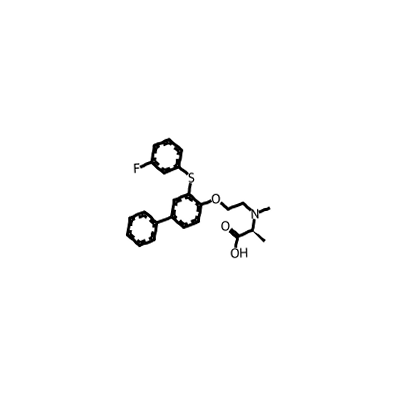 C[C@@H](C(=O)O)N(C)CCOc1ccc(-c2ccccc2)cc1Sc1cccc(F)c1